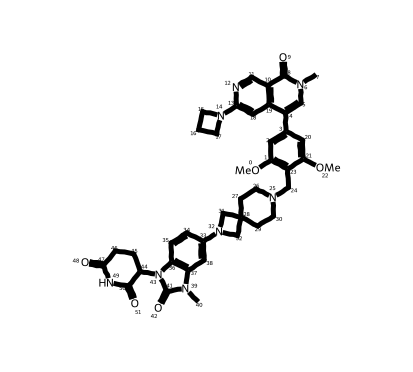 COc1cc(-c2cn(C)c(=O)c3cnc(N4CCC4)cc23)cc(OC)c1CN1CCC2(CC1)CN(c1ccc3c(c1)n(C)c(=O)n3C1CCC(=O)NC1=O)C2